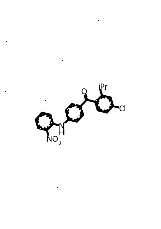 CC(C)c1cc(Cl)ccc1C(=O)c1ccc(Nc2ccccc2[N+](=O)[O-])cc1